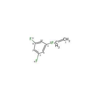 C=C.Fc1cc(F)cc(F)c1